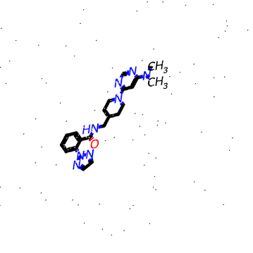 CN(C)c1cc(N2CCC(CNC(=O)c3ccccc3-n3nccn3)CC2)ncn1